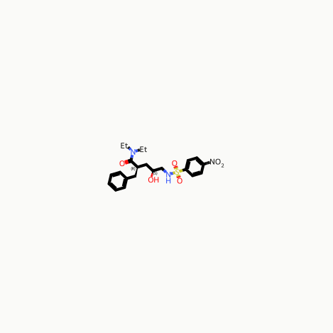 CCN(CC)C(=O)[C@H](Cc1ccccc1)C[C@H](O)CNS(=O)(=O)c1ccc([N+](=O)[O-])cc1